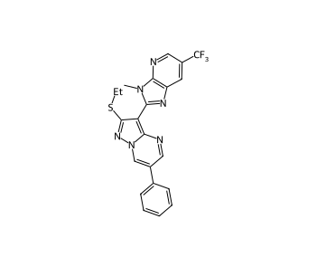 CCSc1nn2cc(-c3ccccc3)cnc2c1-c1nc2cc(C(F)(F)F)cnc2n1C